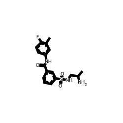 Cc1cc(NC(=O)c2cccc(S(=O)(=O)NCC(C)N)c2)ccc1F